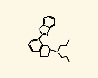 CCCN(CCC)C1CCc2cccc(-c3nc4ccccc4[nH]3)c2C1